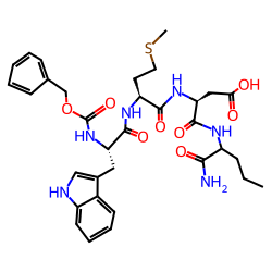 CCCC(NC(=O)[C@H](CC(=O)O)NC(=O)[C@H](CCSC)NC(=O)[C@H](Cc1c[nH]c2ccccc12)NC(=O)OCc1ccccc1)C(N)=O